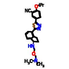 CC(C)Oc1ccc(-c2nnc(-c3cccc4c3CC[C@@H]4NCOCN(C)C)s2)cc1C#N